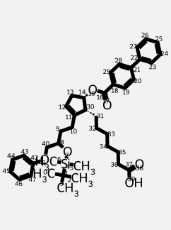 CC(C)(C)[Si](C)(C)OC(CCC1=CC[C@H](OC(=O)c2ccc(-c3ccccc3)cc2)[C@@H]1CCCCCCC(=O)O)COc1ccccc1